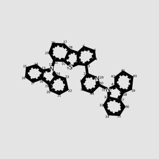 c1cc(-c2cccc3c2sc2c(-n4c5ccccc5c5ccccc54)cccc23)nc(-n2c3ccccc3c3ccccc32)c1